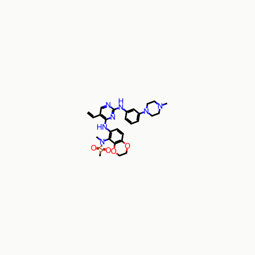 C=Cc1cnc(Nc2cccc(N3CCN(C)CC3)c2)nc1Nc1ccc2c(c1N(C)S(C)(=O)=O)OCCO2